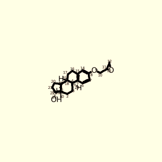 C[C@]12CC[C@@H]3c4ccc(OCC5CO5)cc4CC[C@H]3[C@@H]1CC[C@H]2O